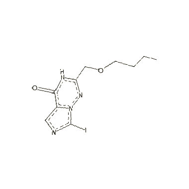 CCCCOCc1nn2c(I)ncc2c(=O)[nH]1